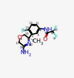 C[C@@]1(c2cc(NC(=O)C(F)F)ccc2F)COCC(N)=N1